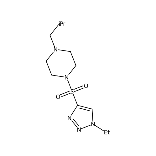 CCn1cc(S(=O)(=O)N2CCN(CC(C)C)CC2)nn1